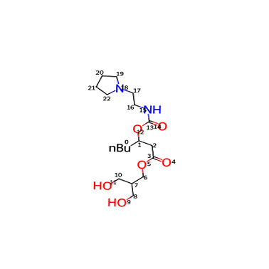 CCCCC(CC(=O)OCC(CO)CO)OC(=O)NCCN1CCCC1